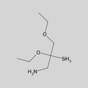 CCOCC([SiH3])(CN)OCC